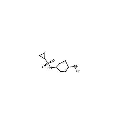 CC(C)NC1CCC(NS(=O)(=O)C2CC2)CC1